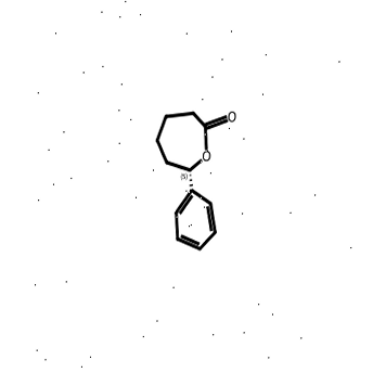 O=C1CCCC[C@@H](c2ccccc2)O1